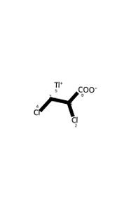 O=C([O-])C(Cl)CCl.[Tl+]